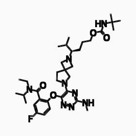 CCN(C(=O)c1cc(F)ccc1Oc1nnc(NC)nc1N1CCC2(C1)CN([C@H](CCCOC(=O)NC(C)(C)C)C(C)C)C2)C(C)C